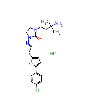 CC(C)(N)CCN1CCN(N=CCc2ccc(-c3ccc(Cl)cc3)o2)C1=O.Cl